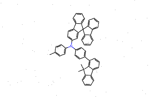 Cc1ccc(N(c2ccc(-c3cccc4c3C(C)(C)c3ccccc3-4)cc2)c2ccc3c(c2)C2(c4ccccc4-c4ccccc42)c2ccccc2-3)cc1